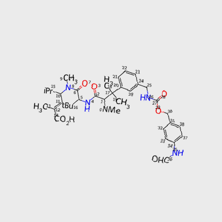 CNC(C(=O)NC(C(=O)N(C)C(/C=C(\C)C(=O)O)C(C)C)C(C)(C)C)C(C)(C)c1cccc(CNC(=O)OCc2ccc(NC=O)cc2)c1